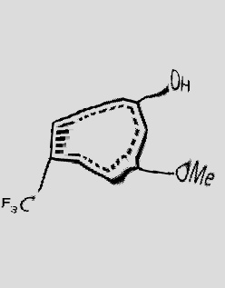 COc1cc(C(F)(F)F)ccc1O